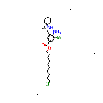 CCC1(NCc2cc(C(=O)OCCCCCCCCCCCl)cc(Br)c2N)CCCCC1